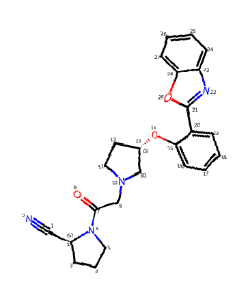 N#C[C@@H]1CCCN1C(=O)CN1CC[C@H](Oc2ccccc2-c2nc3ccccc3o2)C1